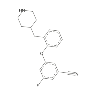 N#Cc1cc(F)cc(Oc2ccccc2CC2CCNCC2)c1